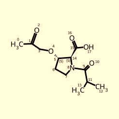 CC(=O)CO[C@H]1CCN(C(=O)C(C)C)[C@@H]1C(=O)O